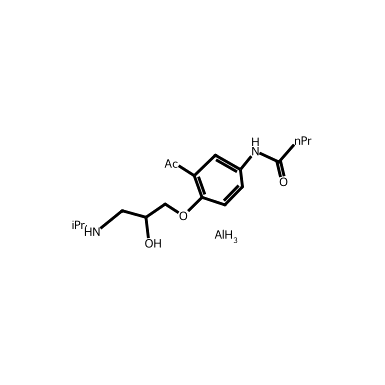 CCCC(=O)Nc1ccc(OCC(O)CNC(C)C)c(C(C)=O)c1.[AlH3]